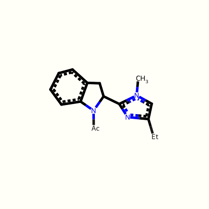 CCc1cn(C)c(C2Cc3ccccc3N2C(C)=O)n1